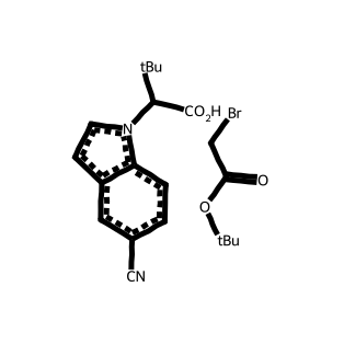 CC(C)(C)C(C(=O)O)n1ccc2cc(C#N)ccc21.CC(C)(C)OC(=O)CBr